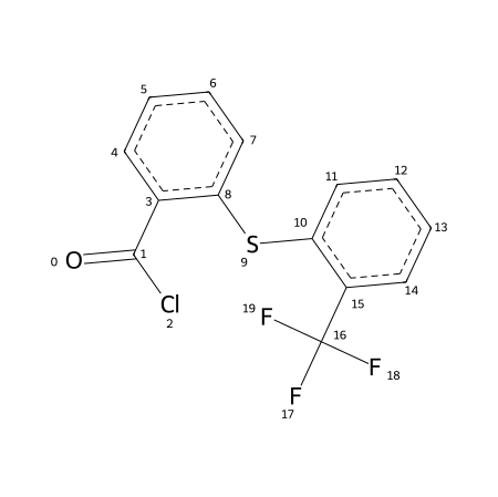 O=C(Cl)c1ccccc1Sc1ccccc1C(F)(F)F